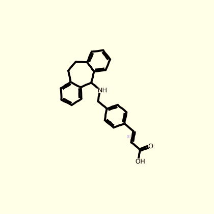 O=C(O)/C=C/c1ccc(CNC2c3ccccc3CCc3ccccc32)cc1